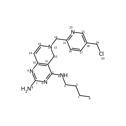 CCCCNc1nc(N)nc2c1CN(Cc1ccc(CCl)cn1)C=C2